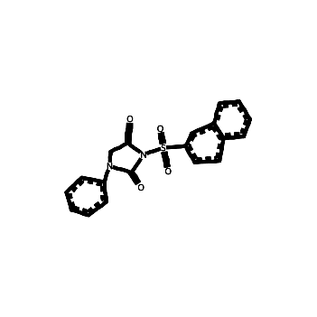 O=C1CN(c2ccccc2)C(=O)N1S(=O)(=O)c1ccc2ccccc2c1